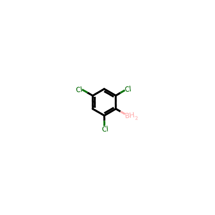 Bc1c(Cl)cc(Cl)cc1Cl